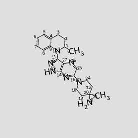 CC1CCc2ccccc2N1c1n[nH]c2nc(N3CCC(C)(N)CC3)cnc12